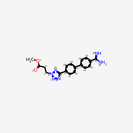 COC(=O)CCn1nnc(-c2ccc(-c3ccc(C(=N)N)cc3)cc2)n1